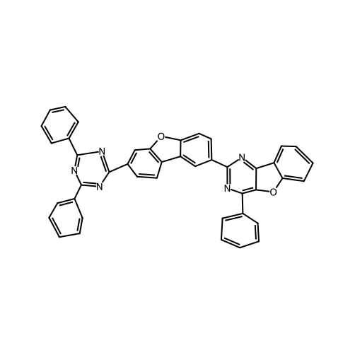 c1ccc(-c2nc(-c3ccccc3)nc(-c3ccc4c(c3)oc3ccc(-c5nc(-c6ccccc6)c6oc7ccccc7c6n5)cc34)n2)cc1